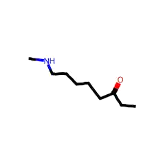 CCC(=O)CCCCCNC